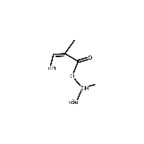 CCCC=C(C)C(=O)O[SiH](C)CCCC